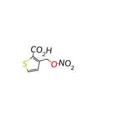 O=C(O)c1sccc1CO[N+](=O)[O-]